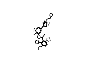 COCCn1cc(-c2cnc(C)c(OC(C)c3c(Cl)ccc(F)c3Cl)c2)cn1